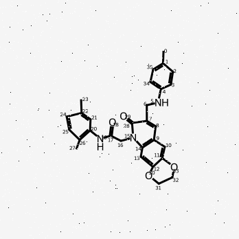 Cc1ccc(NCc2cc3cc4c(cc3n(CC(=O)Nc3cc(C)ccc3C)c2=O)OCCO4)cc1